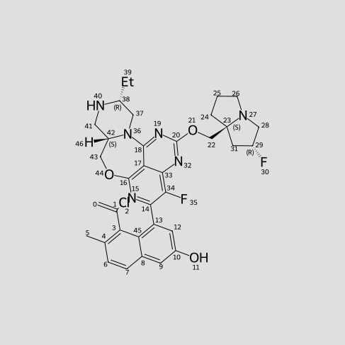 C=C(Cl)c1c(C)ccc2cc(O)cc(-c3nc4c5c(nc(OC[C@@]67CCCN6C[C@H](F)C7)nc5c3F)N3C[C@@H](CC)NC[C@H]3CO4)c12